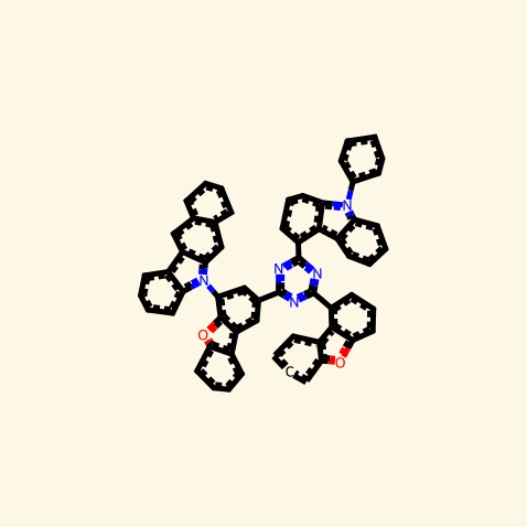 c1ccc(-n2c3ccccc3c3c(-c4nc(-c5cc(-n6c7ccccc7c7cc8ccccc8cc76)c6oc7ccccc7c6c5)nc(-c5cccc6oc7ccccc7c56)n4)cccc32)cc1